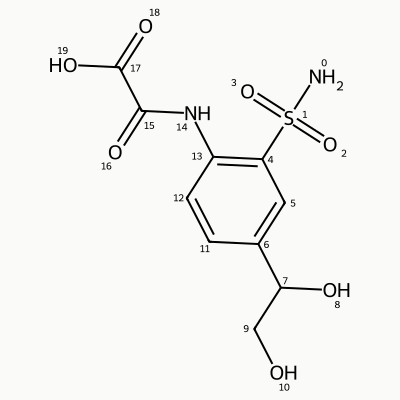 NS(=O)(=O)c1cc(C(O)CO)ccc1NC(=O)C(=O)O